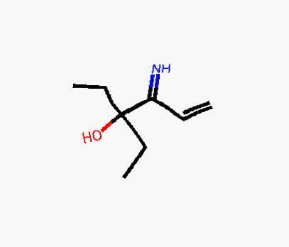 C=CC(=N)C(O)(CC)CC